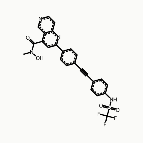 CN(O)C(=O)c1cc(-c2ccc(C#Cc3ccc(NS(=O)(=O)C(F)(F)F)cc3)cc2)nc2ccncc12